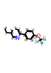 C/C=C(\N=C/C(C)CC)c1ccc(OC(F)(F)F)cc1